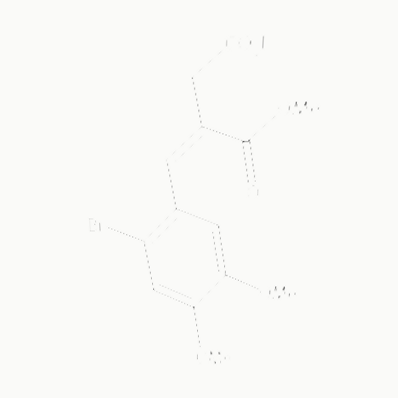 COC(=O)/C(=C\c1cc(OC)c(OC)cc1Br)CC(=O)O